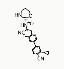 N#Cc1ccc(-c2ccc(C[C@@H](C#N)NC(=O)[C@@H]3CNCCCO3)c(F)c2)cc1C1CC1